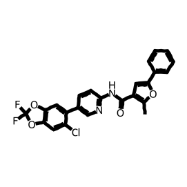 Cc1oc(-c2ccccc2)cc1C(=O)Nc1ccc(-c2cc3c(cc2Cl)OC(F)(F)O3)cn1